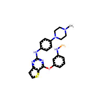 CN1CCN(c2ccc(Nc3nc(Oc4cccc(NP)c4)c4sccc4n3)cc2)CC1